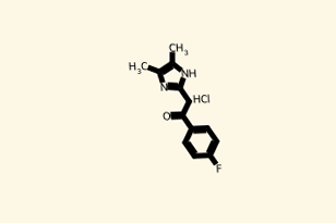 Cc1nc(CC(=O)c2ccc(F)cc2)[nH]c1C.Cl